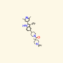 Cc1cc(-c2[nH]c3ccc(C4CCN(C(=O)C5(C)CCN(C(C)C)CC5)CC4)cc3c2C(C)C)cc(C)n1